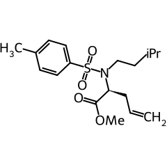 C=CC[C@@H](C(=O)OC)N(CCC(C)C)S(=O)(=O)c1ccc(C)cc1